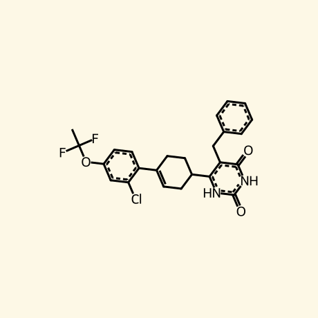 CC(F)(F)Oc1ccc(C2=CCC(c3[nH]c(=O)[nH]c(=O)c3Cc3ccccc3)CC2)c(Cl)c1